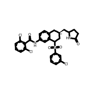 O=C1CCC(C[C@@H]2Cc3ccc(NC(=O)c4c(Cl)cccc4Cl)cc3C(S(=O)(=O)c3cccc(Cl)c3)C2)N1